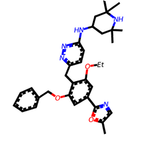 CCOc1cc(-c2ncc(C)o2)cc(OCc2ccccc2)c1Cc1ccc(NC2CC(C)(C)NC(C)(C)C2)nn1